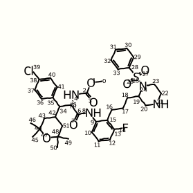 COC(=O)N[C@H](C(=O)Nc1cccc(F)c1CCCC1CNCCN1S(=O)(=O)c1ccccc1)C(c1ccc(Cl)cc1)C1CC(C)(C)OC(C)(C)C1